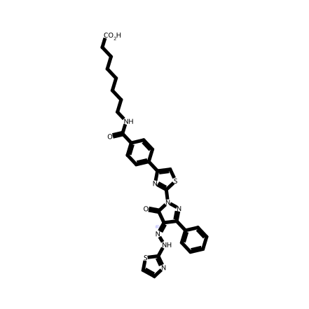 O=C(O)CCCCCCCNC(=O)c1ccc(-c2csc(N3N=C(c4ccccc4)/C(=N\Nc4nccs4)C3=O)n2)cc1